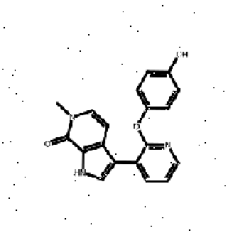 Cn1ccc2c(-c3cccnc3Oc3ccc(O)cc3)c[nH]c2c1=O